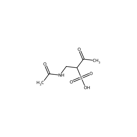 CC(=O)NCC(C(C)=O)S(=O)(=O)O